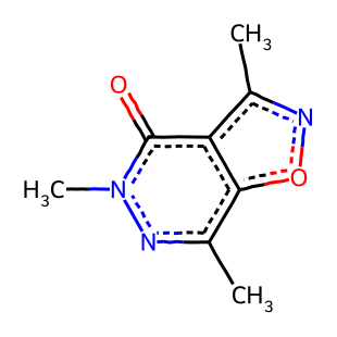 Cc1nn(C)c(=O)c2c(C)noc12